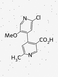 COc1cnc(Cl)cc1-c1cc(C)ncc1C(=O)O